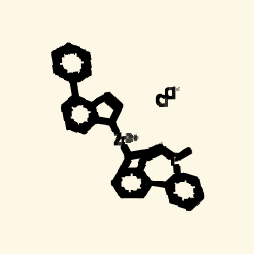 CP1C2=Cc3c(cccc3[CH]2[Zr+2][CH]2C=Cc3c(-c4ccccc4)cccc32)-c2ccccc21.[Cl-].[Cl-]